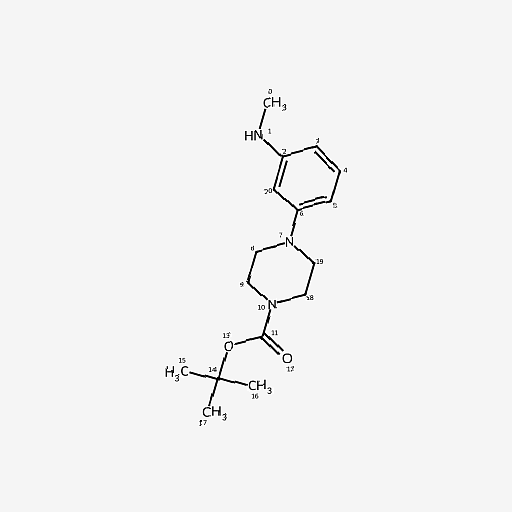 CNc1cccc(N2CCN(C(=O)OC(C)(C)C)CC2)c1